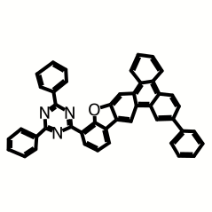 c1ccc(-c2ccc3c4ccccc4c4cc5oc6c(-c7nc(-c8ccccc8)nc(-c8ccccc8)n7)cccc6c5cc4c3c2)cc1